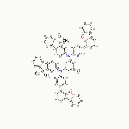 CC1(C)c2ccccc2-c2ccc(N(c3ccc(-c4cccc5c4oc4ccccc45)cc3)c3cc(Cl)cc(N(c4ccc(-c5cccc6c5oc5ccccc56)cc4)c4ccc5c(c4)C(C)(C)c4ccccc4-5)c3)cc21